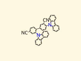 N#Cc1ccc(-c2ccc(-n3c4ccccc4c4ccccc43)c(C#N)c2)c(-n2c3ccccc3c3ccccc32)c1